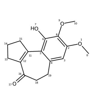 COc1cc2c(c(O)c1OC)C1=C(CCC1)C(=O)CC2